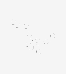 c1cc(-c2ccc(N(c3ccc(-c4ccc5oc6ccccc6c5c4)cc3)c3cccc4oc5c6ccccc6ccc5c34)cc2)cc(-c2ccc3ccccc3c2)c1